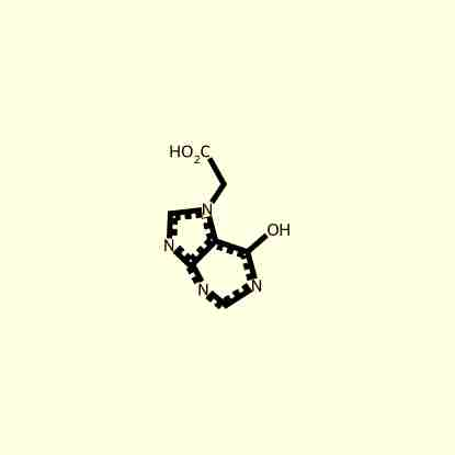 O=C(O)Cn1cnc2ncnc(O)c21